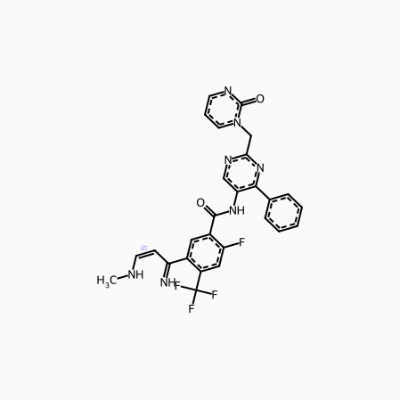 CN/C=C\C(=N)c1cc(C(=O)Nc2cnc(Cn3cccnc3=O)nc2-c2ccccc2)c(F)cc1C(F)(F)F